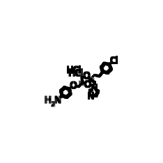 Cl.Cl.Nc1ccc(OC[C@H]2CO[C@@](CCc3ccc(Cl)cc3)(Cn3ccnc3)O2)cc1